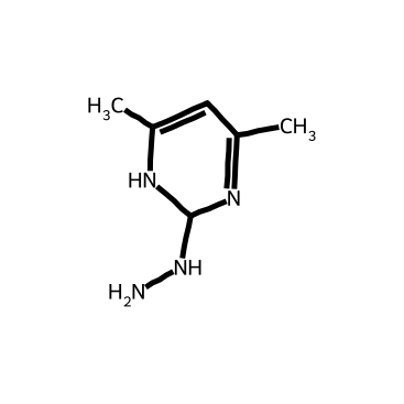 CC1=CC(C)=NC(NN)N1